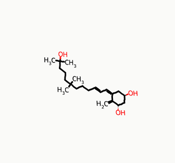 C=C1/C(=C\C=C\CCCC(C)(C)CCCC(C)(C)O)C[C@@H](O)C[C@@H]1O